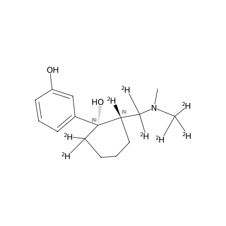 [2H]C([2H])([2H])N(C)C([2H])([2H])[C@]1([2H])CCCC([2H])([2H])[C@@]1(O)c1cccc(O)c1